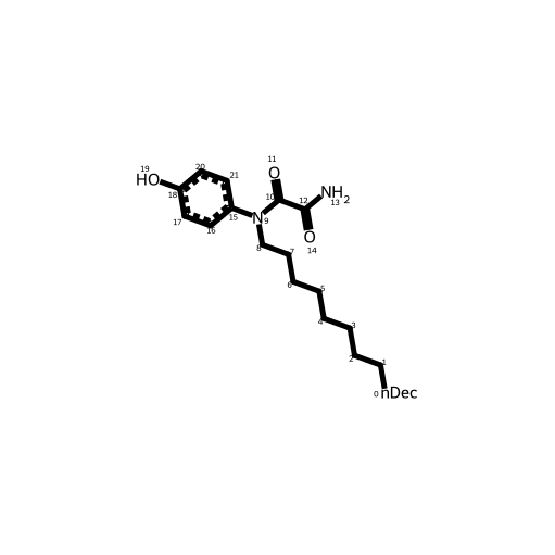 CCCCCCCCCCCCCCCCCCN(C(=O)C(N)=O)c1ccc(O)cc1